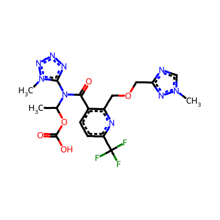 CC(OC(=O)O)N(C(=O)c1ccc(C(F)(F)F)nc1COCc1ncn(C)n1)c1nnnn1C